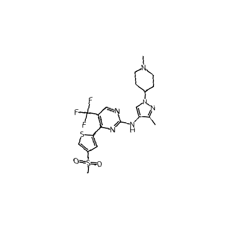 Cc1nn(C2CCN(C)CC2)cc1Nc1ncc(C(F)(F)F)c(-c2cc(S(C)(=O)=O)cs2)n1